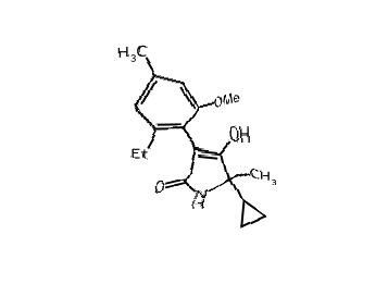 CCc1cc(C)cc(OC)c1C1=C(O)C(C)(C2CC2)NC1=O